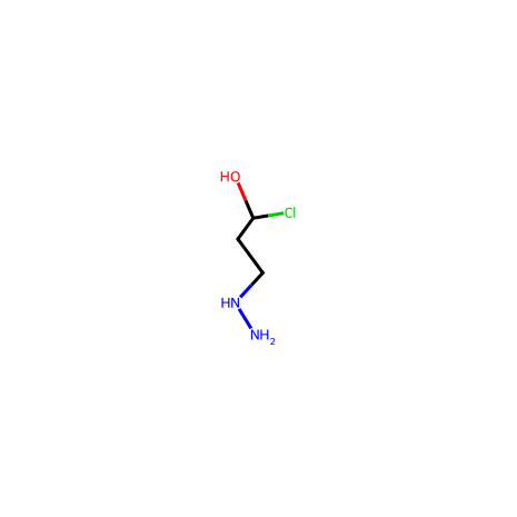 NNCCC(O)Cl